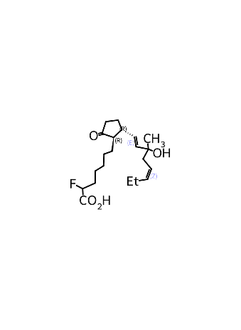 CC/C=C\CC(C)(O)/C=C/[C@H]1CCC(=O)[C@@H]1CCCCCC(F)C(=O)O